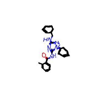 Cc1ccccc1C(=O)Nc1nc(NCc2ccccc2)nn1-c1ccccc1